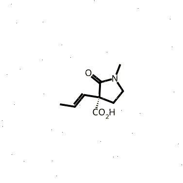 C/C=C/[C@]1(C(=O)O)CCN(C)C1=O